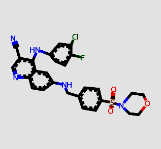 N#Cc1cnc2ccc(NCc3ccc(S(=O)(=O)N4CCOCC4)cc3)cc2c1Nc1ccc(F)c(Cl)c1